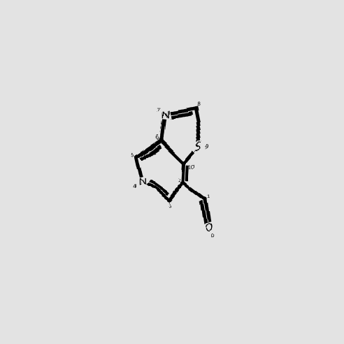 O=Cc1cncc2ncsc12